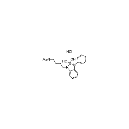 CNCCCCN1c2ccccc2N(c2ccccc2)S1(O)O.Cl